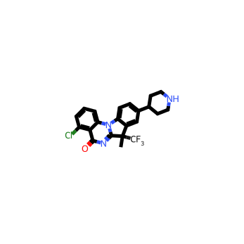 CC1(C(F)(F)F)c2cc(C3CCNCC3)ccc2-n2c1nc(=O)c1c(Cl)cccc12